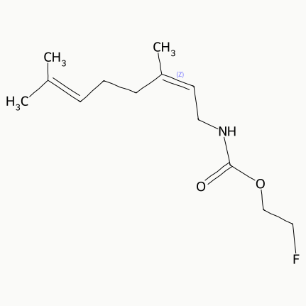 CC(C)=CCC/C(C)=C\CNC(=O)OCCF